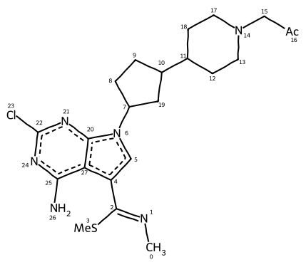 C/N=C(\SC)c1cn(C2CCC(C3CCN(CC(C)=O)CC3)C2)c2nc(Cl)nc(N)c12